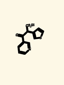 CCOC(=O)C(C(=O)c1cccnc1)c1ccsc1